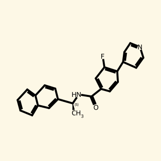 C[C@H](NC(=O)c1ccc(-c2ccncc2)c(F)c1)c1ccc2ccccc2c1